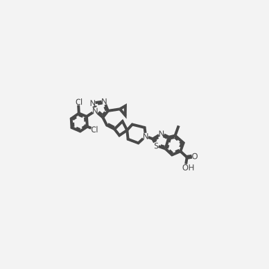 Cc1cc(C(=O)O)cc2sc(N3CCC4(CC3)CC(=Cc3c(C5CC5)nnn3-c3c(Cl)cccc3Cl)C4)nc12